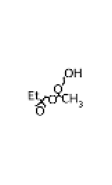 CCC1(COC(C)OCCO)COC1